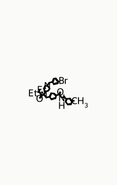 CCC(CC)C(=O)N(Cc1ccc(C(=O)NCc2cccc(C)c2)cc1)C1CCN(Cc2ccc(Br)cc2)CC1